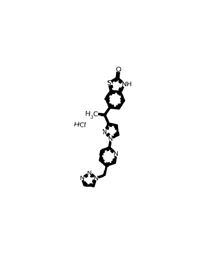 CC(c1ccc2[nH]c(=O)sc2c1)c1ccn(-c2ccc(Cn3ccnn3)cn2)n1.Cl